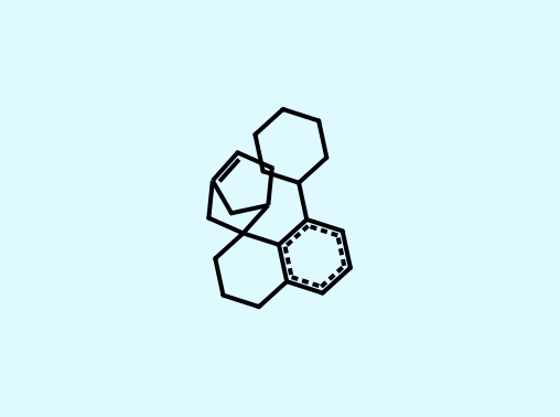 C1=C2CC(C1)C1(CCCc3cccc(C4CCCCC4)c31)C2